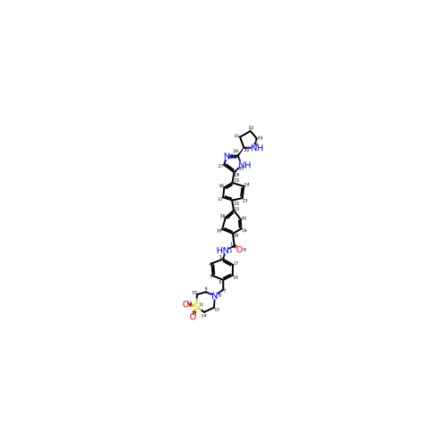 O=C(Nc1ccc(CN2CCS(=O)(=O)CC2)cc1)c1ccc(-c2ccc(-c3cnc([C@H]4CCCN4)[nH]3)cc2)cc1